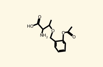 CC(=O)Oc1ccccc1COC(C)C(N)C(=O)O